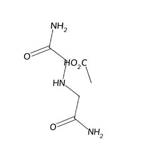 CC(=O)O.NC(=O)CNCC(N)=O